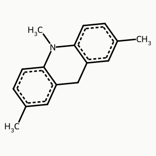 Cc1ccc2c(c1)Cc1cc(C)ccc1N2C